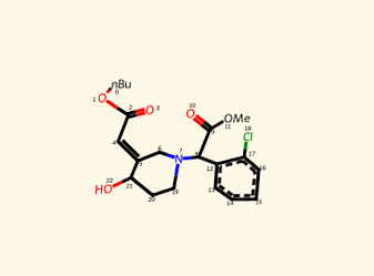 CCCCOC(=O)/C=C1\CN(C(C(=O)OC)c2ccccc2Cl)CCC1O